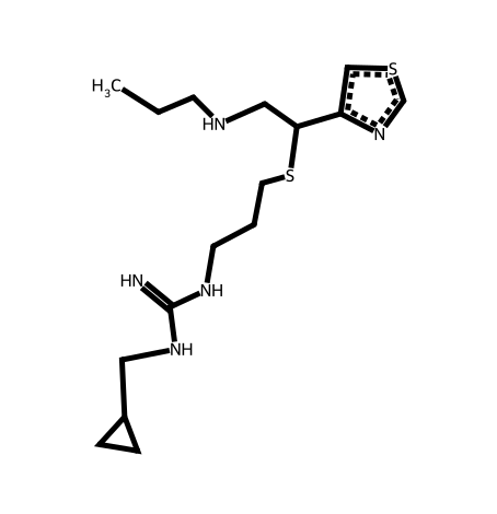 CCCNCC(SCCCNC(=N)NCC1CC1)c1cscn1